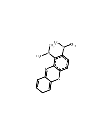 CN(C)c1ccc2c(c1N(C)C)N=C1C=CCC=C1S2